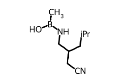 CB(O)NCC(CC#N)CC(C)C